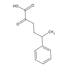 CC(CCC(=O)C(=O)O)c1ccccc1